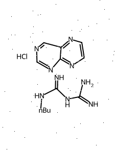 CCCCNC(=N)NC(=N)N.Cl.c1cnc2ncncc2n1